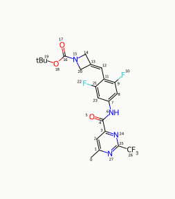 Cc1cc(C(=O)Nc2cc(F)c(C=C3CN(C(=O)OC(C)(C)C)C3)c(F)c2)nc(C(F)(F)F)n1